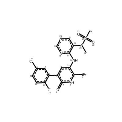 CC(C)c1[nH]c(=O)c(-c2cc(Cl)ccc2F)cc1Nc1ncncc1N(C)S(C)(=O)=O